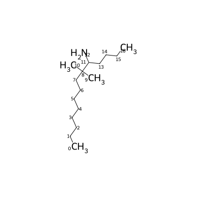 CCCCCCCCC(C)(C)C(N)CCCC